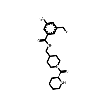 O=C(NCC1CCN(C(=O)[C@@H]2CCCCN2)CC1)c1cc(CF)cc(C(F)(F)F)c1